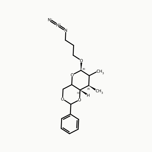 CC1[C@H](OCCCN=[N+]=[N-])OC2COC(c3ccccc3)O[C@H]2[C@@H]1C